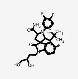 CC(C)(C)CC1N(c2ccc(F)c(F)c2)C(C(N)=O)CC12C(=O)N(CCC(O)CO)c1ccc(F)cc12